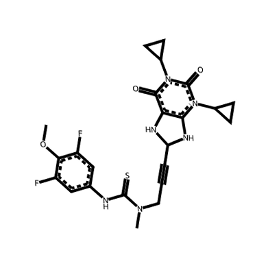 COc1c(F)cc(NC(=S)N(C)CC#CC2Nc3c(n(C4CC4)c(=O)n(C4CC4)c3=O)N2)cc1F